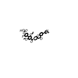 CCOc1cc(C(=O)N2CCC3(CC2)CC(=O)c2cc(-c4cnn(C)c4)ccc2O3)cc(OCC)c1-c1ccc(OC(=O)O)c(F)c1